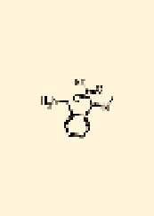 CCS(=O)(=O)C(=NC)c1ccccc1CN